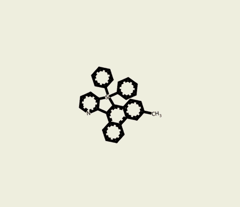 Cc1ccc2c3c(c4ccccc4c2c1)-c1ncccc1[Si]3(c1ccccc1)c1ccccc1